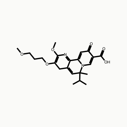 COCCCOC1=C(OC)N=C2C(=CC(C)(C(C)C)n3cc(C(=O)O)c(=O)cc32)C1